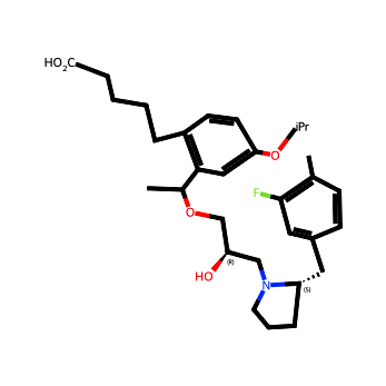 Cc1ccc(C[C@@H]2CCCN2C[C@@H](O)COC(C)c2cc(OC(C)C)ccc2CCCCC(=O)O)cc1F